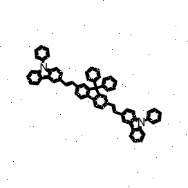 C(=C\c1ccc2c(c1)c1ccccc1n2-c1ccccc1)/c1ccc2c(c1)C(c1ccccc1)(c1ccccc1)c1cc(/C=C/c3ccc4c(c3)c3ccccc3n4-c3ccccc3)ccc1-2